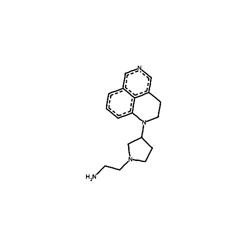 NCCN1CCC(N2CCc3cncc4cccc2c34)C1